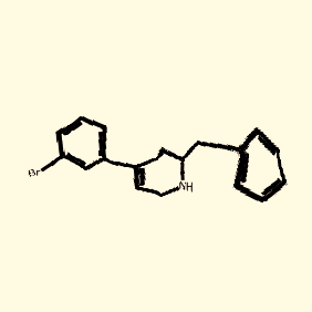 Brc1cccc(C2=CCNC(Cc3ccccc3)C2)c1